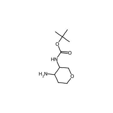 CC(C)(C)OC(=O)NC1COCCC1N